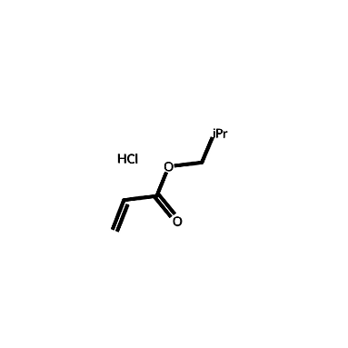 C=CC(=O)OCC(C)C.Cl